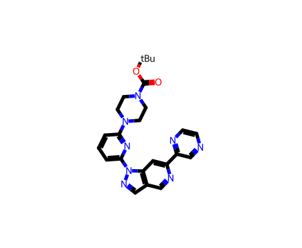 CC(C)(C)OC(=O)N1CCN(c2cccc(-n3ncc4cnc(-c5cnccn5)cc43)n2)CC1